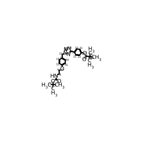 CC(C)(C)OC(=O)NCCOc1ccc(Cn2nnc(-c3ccc(OC(=O)C(C)(C)C)cc3)n2)cc1